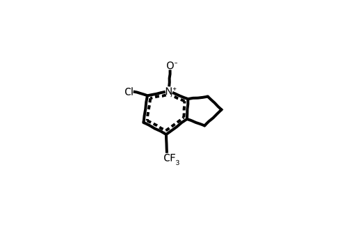 [O-][n+]1c(Cl)cc(C(F)(F)F)c2c1CCC2